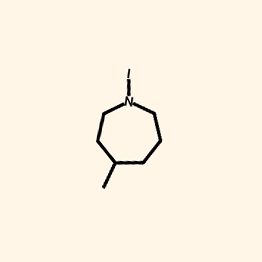 CC1CCCN(I)CC1